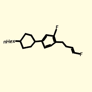 CCCCCCC1CCC(c2ccc(CC/C=C/F)c(F)c2)CC1